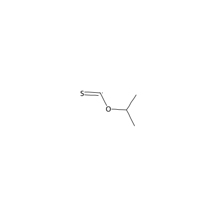 CC(C)O[C]=S